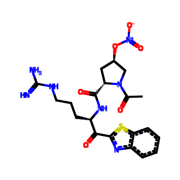 CC(=O)N1C[C@H](O[N+](=O)[O-])C[C@H]1C(=O)N[C@H](CCCNC(=N)N)C(=O)c1nc2ccccc2s1